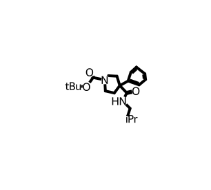 CC(C)CNC(=O)C1(c2ccccc2)CCN(C(=O)OC(C)(C)C)CC1